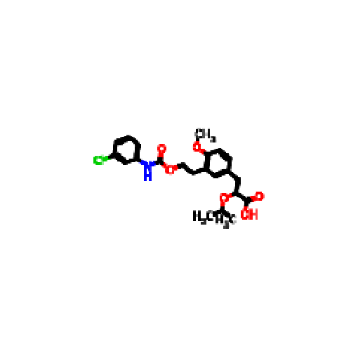 COc1ccc(CC(OC(C)C)C(=O)O)cc1CCOC(=O)Nc1cccc(Cl)c1